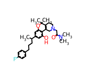 CC(CCCc1ccc(F)cc1)c1cc(O)c2c(c1)OC(C)(C)C1=C2CN(CC(=O)N(C)C)CC1